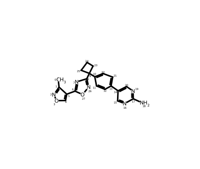 Cc1nocc1-c1nc(C2(c3ccc(-c4cnc(N)nc4)cc3)CCC2)no1